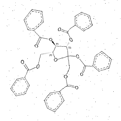 O=C(OC[C@H]1OC(COC(=O)c2ccccc2)(OC(=O)c2ccccc2)[C@@H](OC(=O)c2ccccc2)[C@@H]1OC(=O)c1ccccc1)c1ccccc1